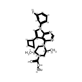 C[C@@H]1CN(c2ncnc3c2c(C2CCC2)cn3-c2cccc(F)c2)[C@@H](C)CN1C(=O)OC(C)(C)C